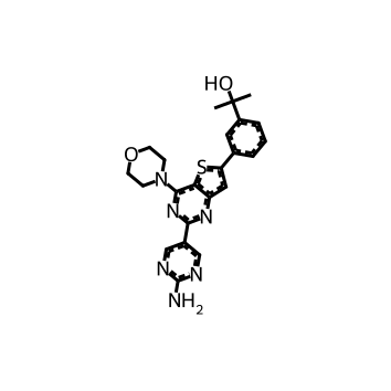 CC(C)(O)c1cccc(-c2cc3nc(-c4cnc(N)nc4)nc(N4CCOCC4)c3s2)c1